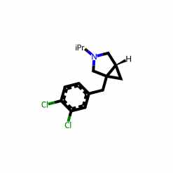 CC(C)N1C[C@@H]2CC2(Cc2ccc(Cl)c(Cl)c2)C1